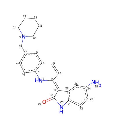 C=C/C(Nc1ccc(CN2CCCCC2)cc1)=C1/C(=O)Nc2ccc(N)cc21